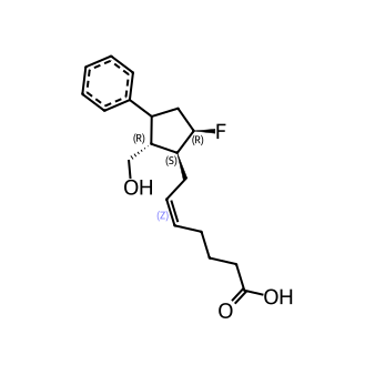 O=C(O)CCC/C=C\C[C@@H]1[C@H](F)CC(c2ccccc2)[C@H]1CO